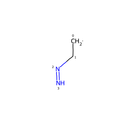 [CH2]CN=N